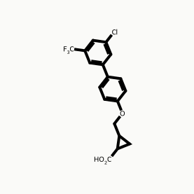 O=C(O)C1CC1COc1ccc(-c2cc(Cl)cc(C(F)(F)F)c2)cc1